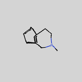 CN1CCC2=C(CC=C2)C1